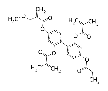 C=CC(=O)Oc1ccc(-c2ccc(OC(=O)C(=C)COC)cc2OC(=O)C(=C)C)c(OC(=O)C(=C)C)c1